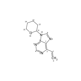 C=Cc1ncnc2c1ncn2C1CCCCO1